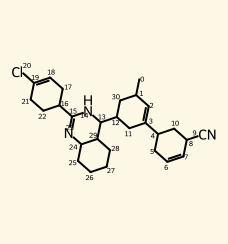 CC1C=C(C2CC=CC(C#N)C2)CC(C2NC(C3CC=C(Cl)CC3)=NC3CCCCC32)C1